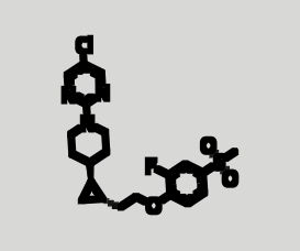 CS(=O)(=O)c1ccc(OCC[C@@H]2C[C@H]2C2CCN(c3ncc(Cl)cn3)CC2)c(F)c1